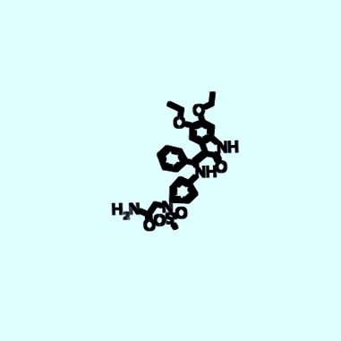 CCOc1cc2c(cc1OCC)/C(=C(/Nc1ccc(N(CC(N)=O)S(C)(=O)=O)cc1)c1ccccc1)C(=O)N2